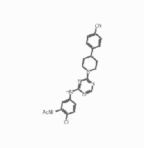 CC(=O)Nc1cc(Nc2ncnc(N3CCC(c4ccc(C#N)cc4)CC3)n2)ccc1Cl